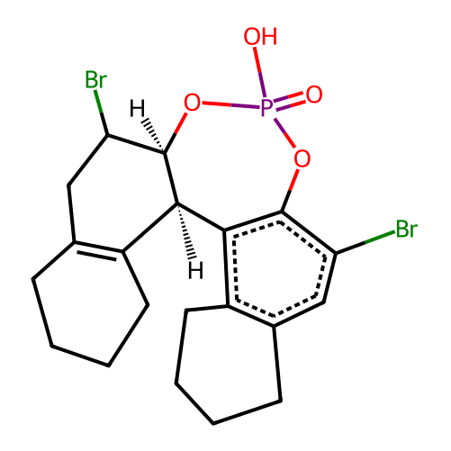 O=P1(O)Oc2c(Br)cc3c(c2[C@H]2C4=C(CCCC4)CC(Br)[C@H]2O1)CCCC3